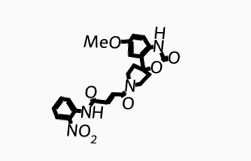 COc1ccc2c(c1)C1(CCN(C(=O)C=CC(=O)Nc3ccccc3[N+](=O)[O-])CC1)OC(=O)N2